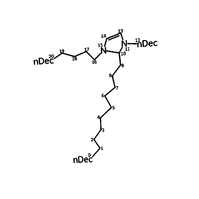 CCCCCCCCCCCCCCCCCCCC1N(CCCCCCCCCC)C=CN1CCCCCCCCCCCCCC